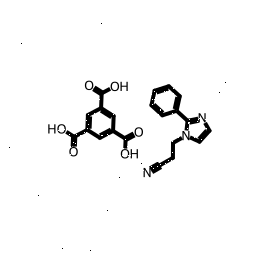 N#CCCn1ccnc1-c1ccccc1.O=C(O)c1cc(C(=O)O)cc(C(=O)O)c1